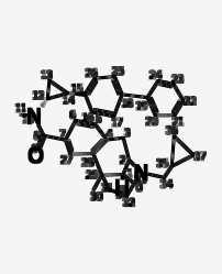 C[C@H]1C2Cc3ccc(C(=O)N(C)[C@@H]4C[C@H]4c4ccc(-c5ccccc5)cc4)cc3C1(C)CCN2CC1CC1